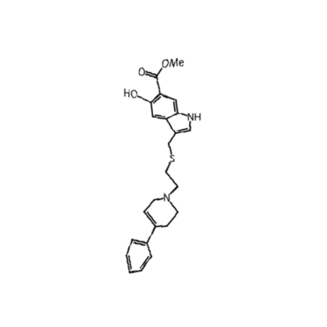 COC(=O)c1cc2[nH]cc(CSCCN3CC=C(c4ccccc4)CC3)c2cc1O